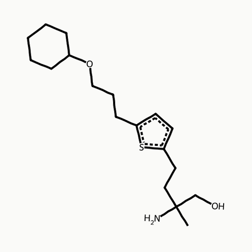 CC(N)(CO)CCc1ccc(CCCOC2CCCCC2)s1